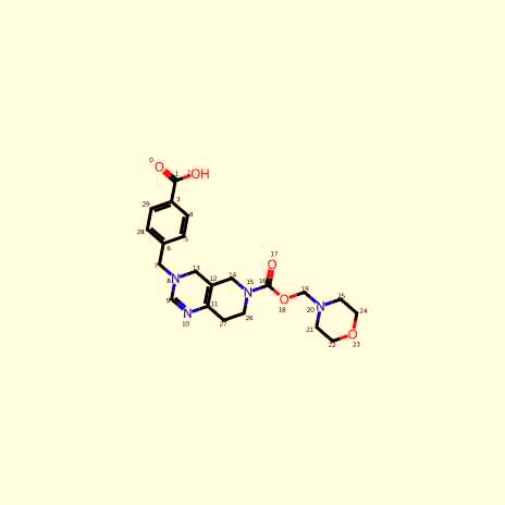 O=C(O)c1ccc(CN2C=NC3=C(C2)CN(C(=O)OCN2CCOCC2)CC3)cc1